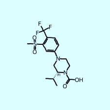 CC(C)[C@@H]1CN(c2ccc(C(F)(F)F)c(S(C)(=O)=O)c2)CCN1C(=O)O